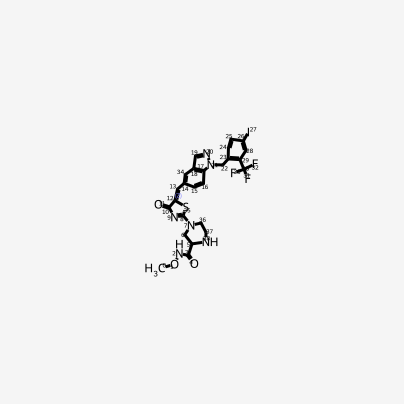 CONC(=O)C1CN(C2=NC(=O)/C(=C/c3ccc4c(cnn4Cc4ccc(I)cc4C(F)(F)F)c3)S2)CCN1